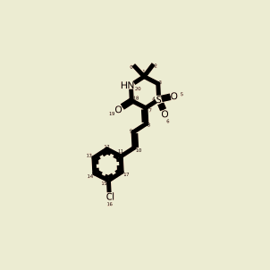 CC1(C)CS(=O)(=O)/C(=C/C=C/c2cccc(Cl)c2)C(=O)N1